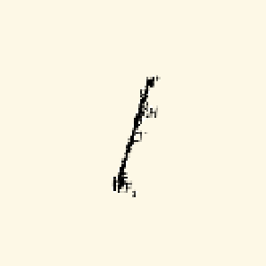 C[N+](C)(C)CCOCCOCC(O)COCCCCCCCCCCCCCCCC(F)(F)C(F)(F)C(F)(F)F.[Cl-]